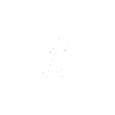 O=c1cc(-c2ccccc2)c2cc([N+](=O)[O-])ccc2[nH]1.O=c1cc(-c2ccccc2)c2cc([N+](=O)[O-])ccc2[nH]1